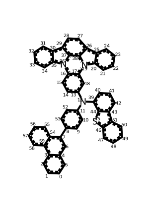 c1ccc2c(c1)cc(-c1ccc(N(c3ccc4c(c3)n3c5ccccc5c5ccc6c7ccccc7n4c6c53)c3cccc4c3sc3ccccc34)cc1)c1ccccc12